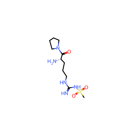 CS(=O)(=O)NC(=N)NCCC[C@H](N)C(=O)N1CCCC1